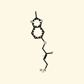 Cc1nc2ccc(OC/C(F)=C/CN)cc2s1